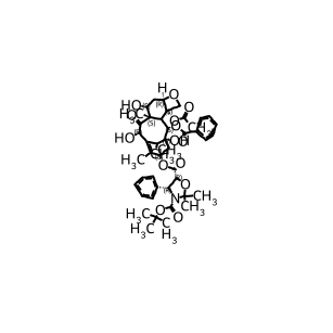 CC(=O)O[C@@]12CO[C@@H]1C[C@H](O)[C@@]1(C)C(=O)[C@H](O)C3=C(C)[C@@H](OC(=O)[C@@H]4OC(C)(C)N(C(=O)OC(C)(C)C)[C@@H]4c4ccccc4)C[C@@](O)([C@@H](OC(=O)c4ccccc4)C12)C3(C)C